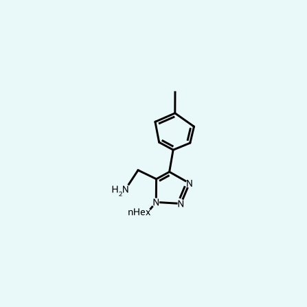 CCCCCCn1nnc(-c2ccc(C)cc2)c1CN